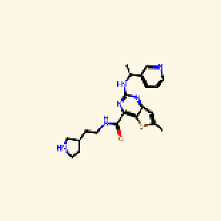 Cc1cc2nc(N[C@@H](C)c3cccnc3)nc(C(=O)NCCC3CCNC3)c2s1